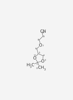 CC1(C)OCC(COCCC#N)O1